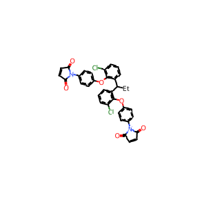 CCC(c1cccc(Cl)c1Oc1ccc(N2C(=O)C=CC2=O)cc1)c1cccc(Cl)c1Oc1ccc(N2C(=O)C=CC2=O)cc1